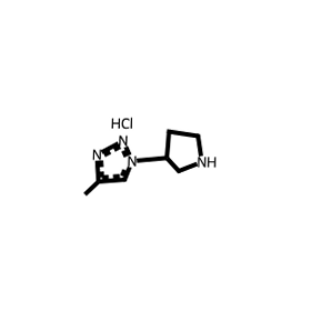 Cc1cn(C2CCNC2)nn1.Cl